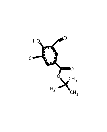 CC(C)(C)OC(=O)c1cc(Cl)c(O)c(C=O)c1